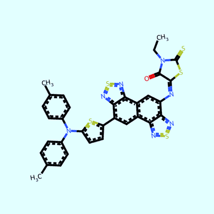 CCN1C(=O)/C(=N\c2cc3c(cc(-c4ccc(N(c5ccc(C)cc5)c5ccc(C)cc5)s4)c4nsnc43)c3nsnc23)SC1=S